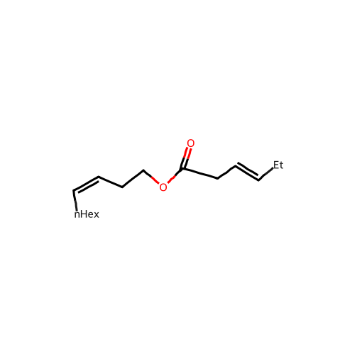 CC/C=C/CC(=O)OCC/C=C\CCCCCC